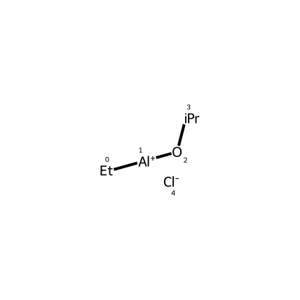 C[CH2][Al+][O]C(C)C.[Cl-]